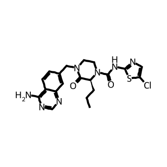 CCC[C@H]1C(=O)N(Cc2ccc3c(N)ncnc3c2)CCN1C(=O)Nc1ncc(Cl)s1